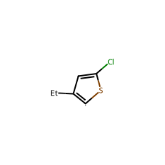 CCc1[c]sc(Cl)c1